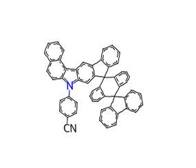 N#Cc1ccc(-n2c3cc4c(cc3c3c5ccccc5ccc32)-c2ccccc2C42c3ccccc3C3(c4ccccc4-c4ccccc43)c3ccccc32)cc1